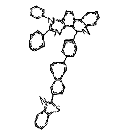 c1ccc(-c2nc3c4c(-c5ccc(-c6ccc7cc(-c8nc9ccccc9s8)ccc7c6)cc5)nc5ccccc5c4ccc3n2-c2ccccc2)cc1